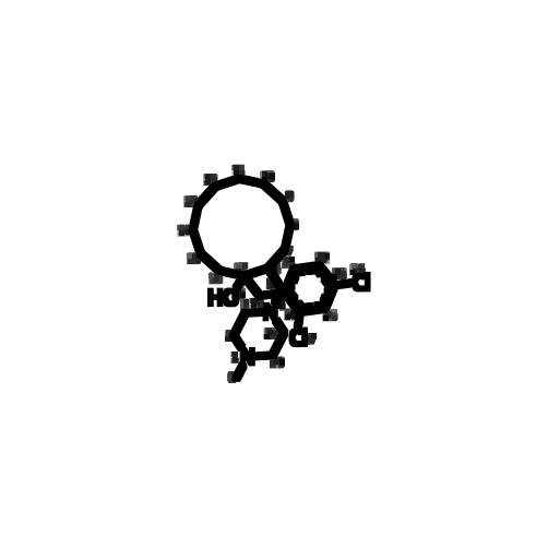 CN1CCN(CC2CCCCCCCCCCC2(O)Cc2ccc(Cl)cc2Cl)CC1